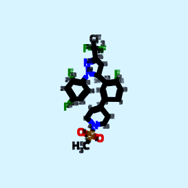 CS(=O)(=O)N1CC=C(c2ccc(F)c(C3CC(C(F)(F)C(F)(F)F)=NN3c3ccc(F)cc3F)c2)CC1